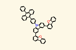 c1ccc(-c2c3ccccc3c(-c3ccc(-n4c5ccc(-c6cccc7c6oc6ccccc67)cc5c5cc(-c6cccc7c6oc6ccccc67)ccc54)cc3)c3ccccc23)cc1